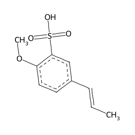 CC=Cc1ccc(OC)c(S(=O)(=O)O)c1